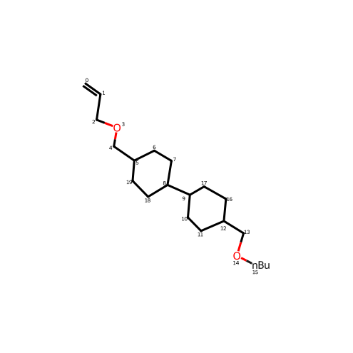 C=CCOCC1CCC(C2CCC(COCCCC)CC2)CC1